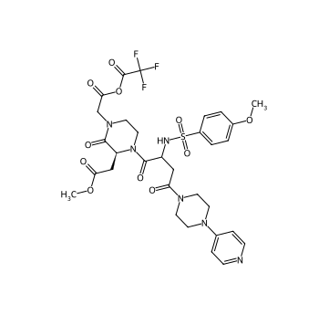 COC(=O)C[C@H]1C(=O)N(CC(=O)OC(=O)C(F)(F)F)CCN1C(=O)C(CC(=O)N1CCN(c2ccncc2)CC1)NS(=O)(=O)c1ccc(OC)cc1